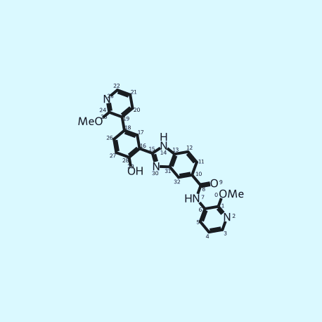 COc1ncccc1NC(=O)c1ccc2[nH]c(-c3cc(-c4cccnc4OC)ccc3O)nc2c1